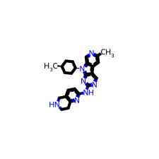 Cc1cc2c3cnc(Nc4ccc5c(n4)CCNC5)nc3n([C@H]3CC[C@H](C)CC3)c2cn1